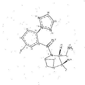 C[C@@H]1C2CC(C2)N(C(=O)c2cc(F)ccc2-n2nccn2)[C@@H]1CN